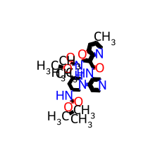 Cc1cnc2c(C(=O)Nc3cnccc3N3CC(NC(=O)OC(C)(C)C)C[C@@H](C)C3)c(NC(=O)OC(C)(C)C)oc2c1